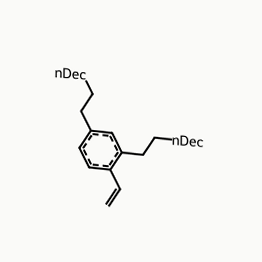 C=Cc1ccc(CCCCCCCCCCCC)cc1CCCCCCCCCCCC